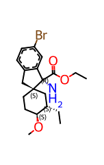 CCOC(=O)[C@]1(N)c2cc(Br)ccc2C[C@@]12CC[C@H](OC)[C@@H](CC)C2